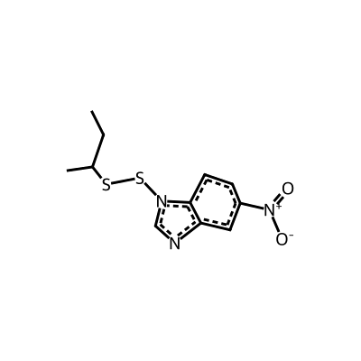 CCC(C)SSn1cnc2cc([N+](=O)[O-])ccc21